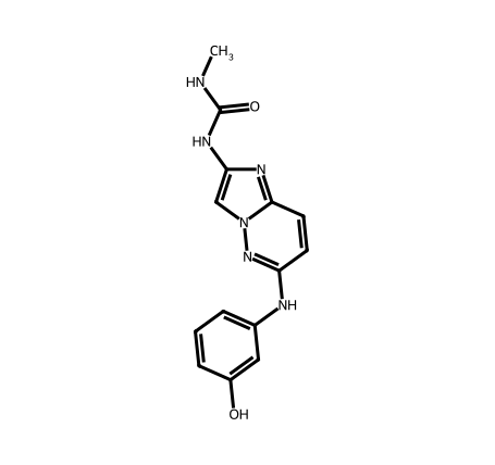 CNC(=O)Nc1cn2nc(Nc3cccc(O)c3)ccc2n1